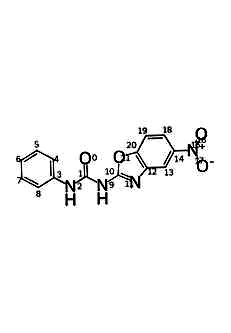 O=C(Nc1ccccc1)Nc1nc2cc([N+](=O)[O-])ccc2o1